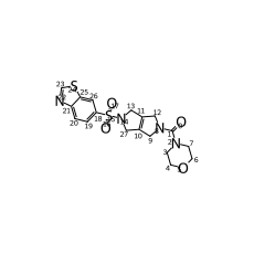 O=C(N1CCOCC1)N1CC2=C(C1)CN(S(=O)(=O)c1ccc3ncsc3c1)C2